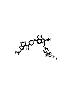 CCS(=O)(=O)N1CCN(CCn2c(C#N)cc3c(C)c(CN4CCC(Nc5ncnc6sc(CC(F)(F)F)cc56)CC4)ccc32)CC1